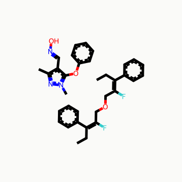 CCC(=C(F)COCC(F)=C(CC)c1ccccc1)c1ccccc1.Cc1nn(C)c(Oc2ccccc2)c1C=NO